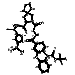 C[C@@H](NC(=O)C1CC2(CN1C(=O)CNC(=O)c1ccc3c(c1)Oc1ccccc1N3C(=O)OC(C)(C)C)OCCO2)c1cc(C(=N)N)cs1